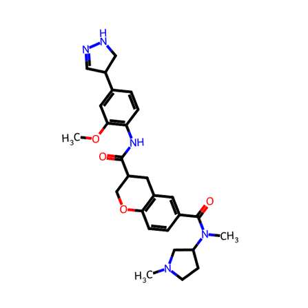 COc1cc(C2C=NNC2)ccc1NC(=O)C1COc2ccc(C(=O)N(C)C3CCN(C)C3)cc2C1